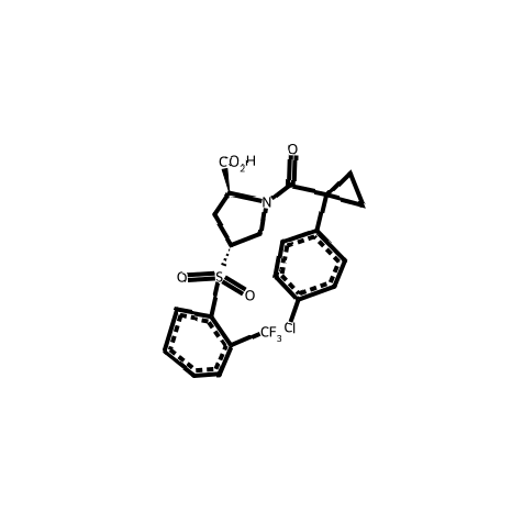 O=C(O)[C@@H]1C[C@@H](S(=O)(=O)c2ccccc2C(F)(F)F)CN1C(=O)C1(c2ccc(Cl)cc2)CC1